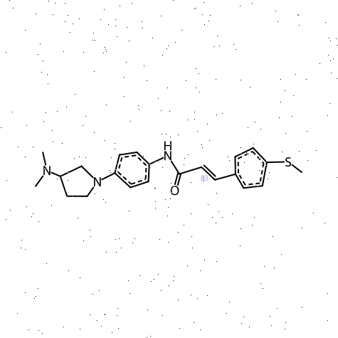 CSc1ccc(/C=C/C(=O)Nc2ccc(N3CCC(N(C)C)C3)cc2)cc1